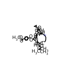 COC(=O)c1ccc(C(=O)O[C@@H]2C[C@H]3C(=O)N[C@]4(C(=O)NS(=O)(=O)C5CC5)C[C@H]4/C=C\CCCCC[C@H](NC(=O)OC(C)(C)C)C(=O)N3C2)cc1